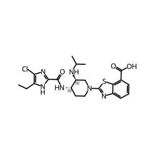 CCc1[nH]c(C(=O)N[C@H]2CCN(c3nc4cccc(C(=O)O)c4s3)C[C@@H]2NC(C)C)nc1Cl